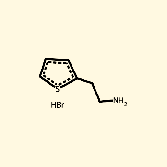 Br.NCCc1cccs1